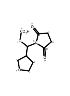 O=C(O)OC(C1CCOC1)N1C(=O)CCC1=O